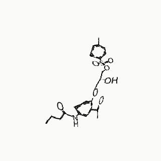 CCCC(=O)Nc1ccc(OC[C@@H](O)COS(=O)(=O)c2ccc(C)cc2)c(C(C)=O)c1